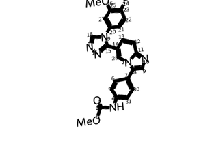 COC(=O)Nc1ccc(-c2cnc3ccc(-c4nncn4-c4ccc(F)c(OC)c4)cn23)cc1